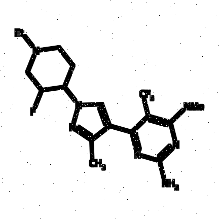 CCN1CCC(n2cc(-c3nc(N)nc(NC)c3C(F)(F)F)c(C)n2)C(F)C1